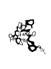 COc1cccc2[nH]c(C(=O)N[C@@H](CC3CCCCC3)C(=O)NC(CO)CC3CC4(CCOCC4)NC3=O)cc12